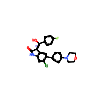 O=C1Nc2cc(Cl)c(-c3ccc(N4CCOCC4)cc3)cc2/C1=C(/O)c1ccc(F)cc1